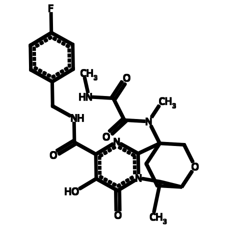 CNC(=O)C(=O)N(C)C12CCC(OC1)C(C)n1c2nc(C(=O)NCc2ccc(F)cc2)c(O)c1=O